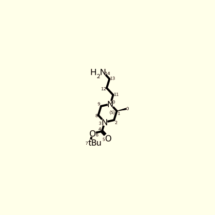 C[C@H]1CN(C(=O)OC(C)(C)C)CCN1CCCN